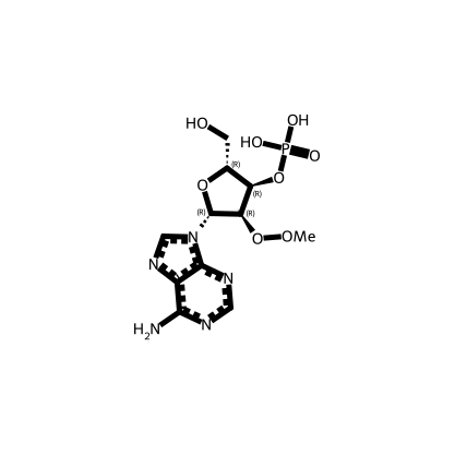 COO[C@@H]1[C@H](OP(=O)(O)O)[C@@H](CO)O[C@H]1n1cnc2c(N)ncnc21